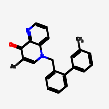 CC(=O)c1cn(Cc2ccccc2-c2cccc(C(F)(F)F)c2)c2cccnc2c1=O